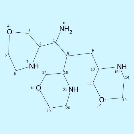 NC(C1COCCN1)C(CC1COCCN1)C1COCCN1